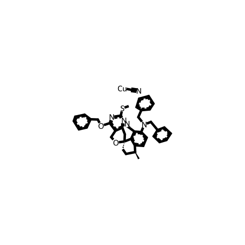 CSc1nc2c(c(OCc3ccccc3)n1)CO[C@@]1(CC[C@H](C)c3ccc(N(Cc4ccccc4)Cc4ccccc4)c(C#N)c31)C2.N#[C][Cu]